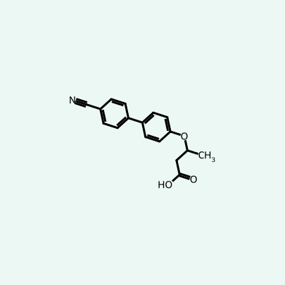 CC(CC(=O)O)Oc1ccc(-c2ccc(C#N)cc2)cc1